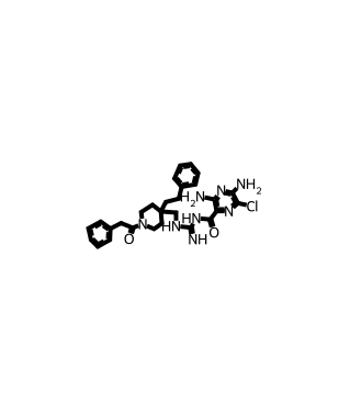 N=C(NCC1(CCc2ccccc2)CCN(C(=O)Cc2ccccc2)CC1)NC(=O)c1nc(Cl)c(N)nc1N